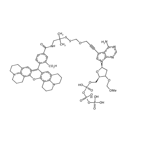 COCOC1C[C@H](n2cc(C#CCOCSSC(C)(C)CNC(=O)c3ccc(C4=c5cc6c7c(c5Oc5c4cc4c8c5CCCN8CCC4)CCC[N+]=7CCC6)c(C(=O)O)c3)c3c(N)ncnc32)O[C@@H]1COP(=O)(O)OP(=O)(O)OP(=O)(O)O